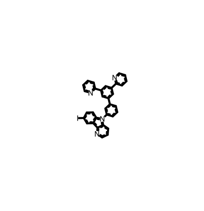 Ic1ccc2c(c1)c1ncccc1n2-c1cccc(-c2cc(-c3ccccn3)cc(-c3ccccn3)c2)c1